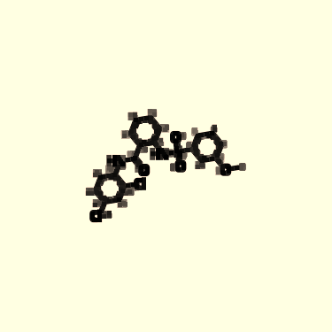 COc1cccc(S(=O)(=O)Nc2ccccc2C(=O)Nc2ccc(Cl)cc2Cl)c1